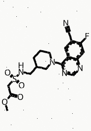 COC(=O)CS(=O)(=O)NCC1CCCN(c2ncnc3cc(F)c(C#N)cc23)C1